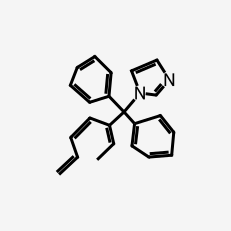 C=C/C=C\C(=C/C)C(c1ccccc1)(c1ccccc1)n1ccnc1